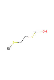 CCSCCSCO